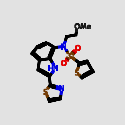 COCCN(c1cccc2cc(-c3nccs3)[nH]c12)S(=O)(=O)c1cccs1